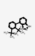 CC(C)(C)c1cccc(-c2cccc3[nH]nnc23)c1C(C)(C)C